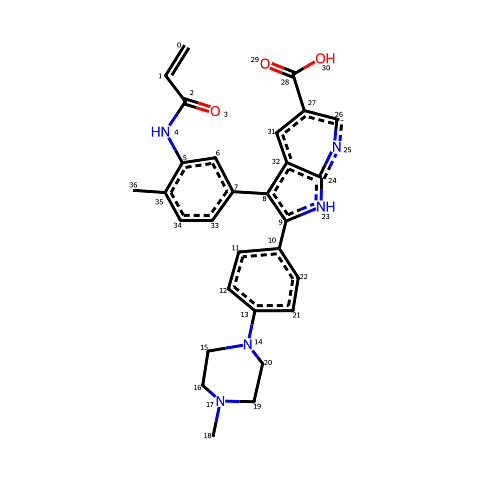 C=CC(=O)Nc1cc(-c2c(-c3ccc(N4CCN(C)CC4)cc3)[nH]c3ncc(C(=O)O)cc23)ccc1C